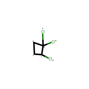 ClC1CCC1(Cl)Cl